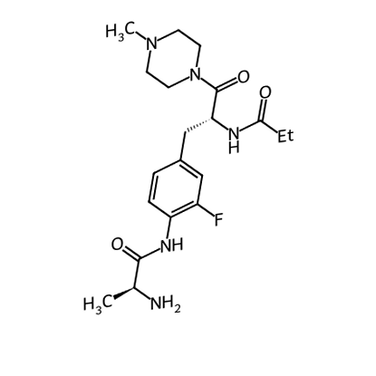 CCC(=O)N[C@H](Cc1ccc(NC(=O)[C@H](C)N)c(F)c1)C(=O)N1CCN(C)CC1